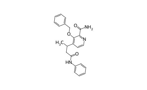 CC(CC(=O)Nc1ccccc1)c1ccnc(C(N)=O)c1OCc1ccccc1